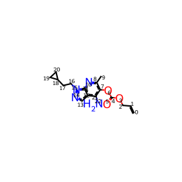 C=CCOC(=O)Oc1c(C)nc2c(cnn2CCC2CC2)c1N